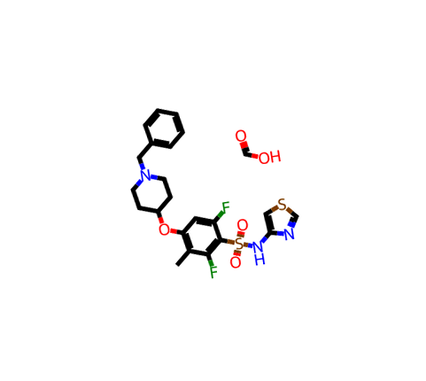 Cc1c(OC2CCN(Cc3ccccc3)CC2)cc(F)c(S(=O)(=O)Nc2cscn2)c1F.O=CO